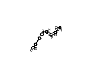 O=C1CCC(c2ccc(C#CC3CCN(C4CCN(C(=O)c5ccc(Nc6ncc(F)c(Nc7ccc(C(=O)Nc8ccccc8Cl)cc7)n6)cc5)CC4)CC3)cc2)C(=O)N1